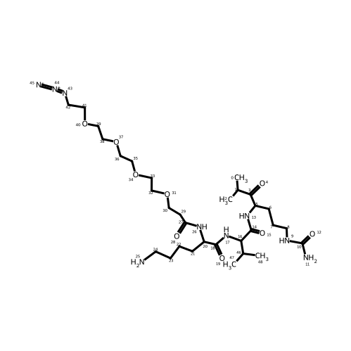 CC(C)C(=O)C(CCCNC(N)=O)NC(=O)C(NC(=O)C(CCCCN)NC(=O)CCOCCOCCOCCOCCN=[N+]=[N-])C(C)C